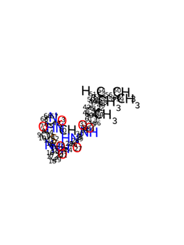 CNC(=O)c1cc(Oc2ccc3nc(N[C@H]4CCCCC4OC(=O)CCC(=O)NCCNC(=O)O[C@H]4CC[C@@]5(C)C(=CCC6C5CC[C@@]5(C)C6CC[C@@H]5[C@H](C)CCCC(C)C)C4)sc3c2)ccn1